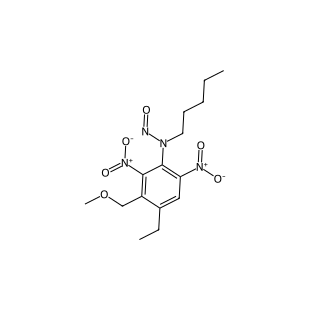 CCCCCN(N=O)c1c([N+](=O)[O-])cc(CC)c(COC)c1[N+](=O)[O-]